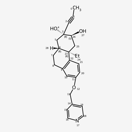 CC#C[C@]1(O)C[C@H]2CCc3cc(OCc4ccncc4)ccc3[C@]2(CC)C[C@@H]1O